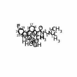 CCN(CC)CCNC(=O)c1c(C)[nH]c2c1CCCC2=C1C(=O)Nc2ccc(F)cc21.O=P(O)(O)O